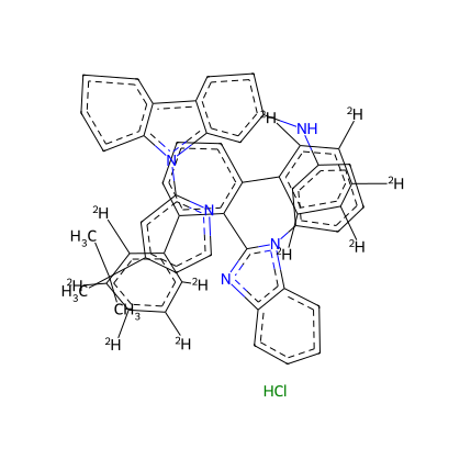 Cl.[2H]c1c([2H])c([2H])c(-c2cccc(-c3c([2H])c([2H])c([2H])c([2H])c3[2H])c2-c2nc3ccccc3n2-c2cccc(Nc3ccc4c5ccccc5n(-c5cc(C(C)(C)C)ccn5)c4c3)c2)c([2H])c1[2H]